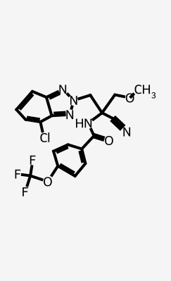 COCC(C#N)(Cn1nc2cccc(Cl)c2n1)NC(=O)c1ccc(OC(F)(F)F)cc1